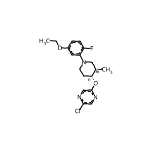 CCOc1ccc(F)c(N2CC[C@@H](Oc3cnc(Cl)cn3)[C@H](C)C2)c1